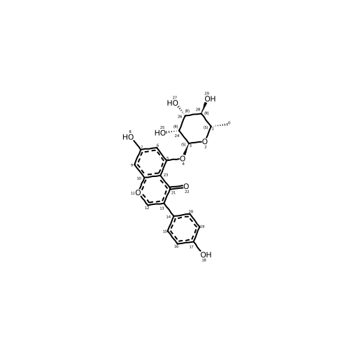 C[C@@H]1O[C@@H](Oc2cc(O)cc3occ(-c4ccc(O)cc4)c(=O)c23)[C@H](O)[C@H](O)[C@H]1O